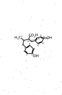 CC(Cc1ccc(O)cc1)C(Cc1ccc(O)cc1)C(=O)O